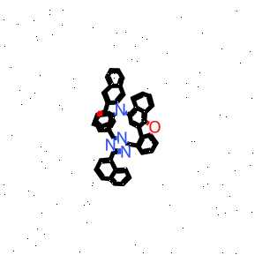 c1ccc(-c2nc(-c3cccc4ccccc34)nc(-c3cccc4oc5c6ccccc6c(-n6c7ccccc7c7cc8ccccc8cc76)cc5c34)n2)cc1